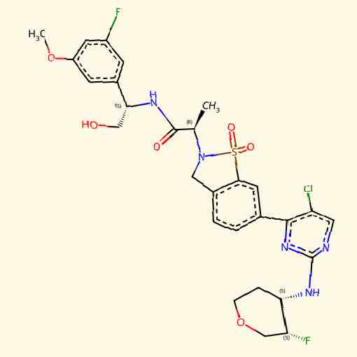 COc1cc(F)cc([C@@H](CO)NC(=O)[C@@H](C)N2Cc3ccc(-c4nc(N[C@H]5CCOC[C@H]5F)ncc4Cl)cc3S2(=O)=O)c1